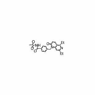 CCc1cc2c(ccc(=O)n2Cc2ccc(C(=O)NS(C)(=O)=O)cc2)c(CC)n1